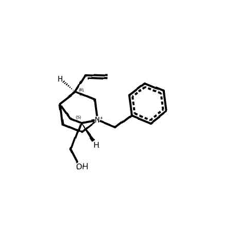 C=C[C@H]1C[N+]2(Cc3ccccc3)CCC1C[C@H]2CO